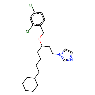 Clc1ccc(COC(CCCCC2CCCCC2)CCn2ccnc2)c(Cl)c1